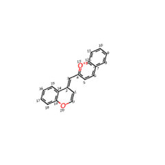 C1=CC(=Cc2ccc3ccccc3[o+]2)c2ccccc2O1